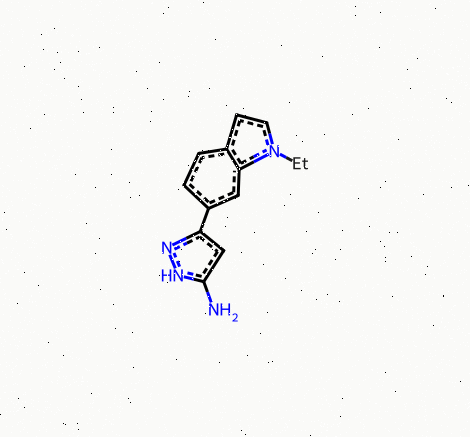 CCn1ccc2ccc(-c3cc(N)[nH]n3)cc21